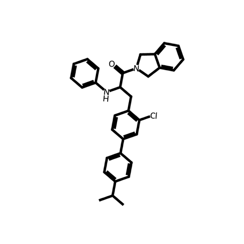 CC(C)c1ccc(-c2ccc(CC(Nc3ccccc3)C(=O)N3Cc4ccccc4C3)c(Cl)c2)cc1